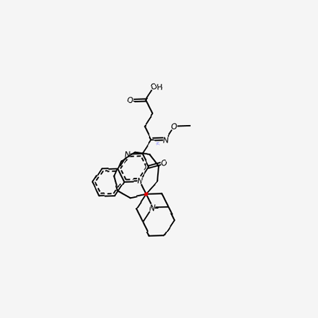 CO/N=C(\CCC(=O)O)c1nc2ccccc2n(C2CC3CCCC(C2)N3C2CCCCCCCC2)c1=O